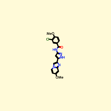 COc1ccn2cc(-c3cc(NC(=O)c4ccc(OC)c(Cl)c4)n[nH]3)nc2c1